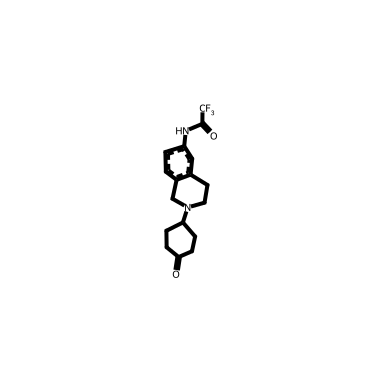 O=C1CCC(N2CCc3cc(NC(=O)C(F)(F)F)ccc3C2)CC1